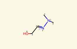 CN(C)/N=C/CO